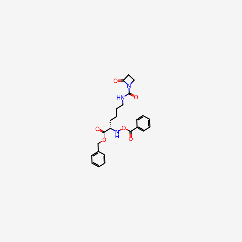 O=C(ON[C@@H](CCCCNC(=O)N1CCC1=O)C(=O)OCc1ccccc1)c1ccccc1